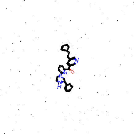 O=C(c1cncc(CCc2ccccc2)c1)c1cccc(N2CCNC(c3ccccc3)C2)n1